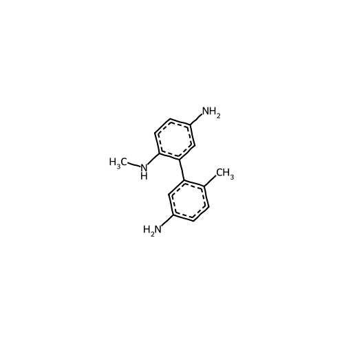 CNc1ccc(N)cc1-c1cc(N)ccc1C